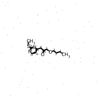 CCCCOCC(=O)Cc1ccnc(SC)n1